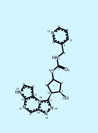 CC[C@@H]1CC(OC(=O)NCc2cccnc2)C[C@@H]1c1nnc2cnc3[nH]ccc3n12